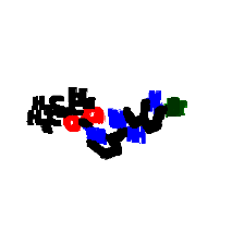 CC(C)(C)OC(=O)N1CCCC1c1ncc(-c2ccc(Br)nc2)[nH]1